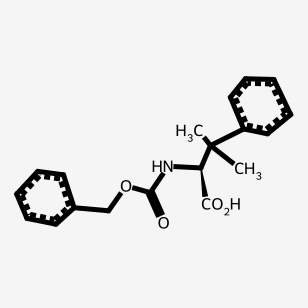 CC(C)(c1ccccc1)[C@H](NC(=O)OCc1ccccc1)C(=O)O